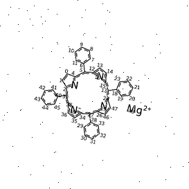 C1=Cc2nc1c(-c1ccccc1)c1ccc([n-]1)c(-c1ccccc1)c1nc(c(-c3ccccc3)c3ccc([n-]3)c2-c2ccccc2)C=C1.[Mg+2]